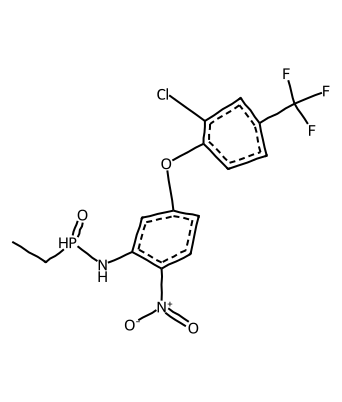 CC[PH](=O)Nc1cc(Oc2ccc(C(F)(F)F)cc2Cl)ccc1[N+](=O)[O-]